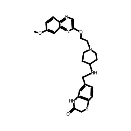 COc1ccc2ncc(OCCN3CCC(NCc4ccc5c(c4)NC(=O)CS5)CC3)nc2c1